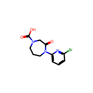 O=C(O)N1CCCN(c2cccc(Br)n2)C(=O)C1